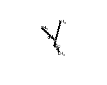 CCCCCCCCCCCCCCN(CCCOC(=O)CCCCCCCCC)CCC1CCN(C(=O)OCCCC)C1